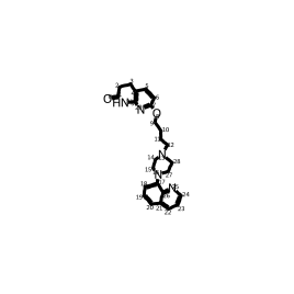 O=C1CCc2ccc(OCCCCN3CCN(c4cccc5cccnc45)CC3)nc2N1